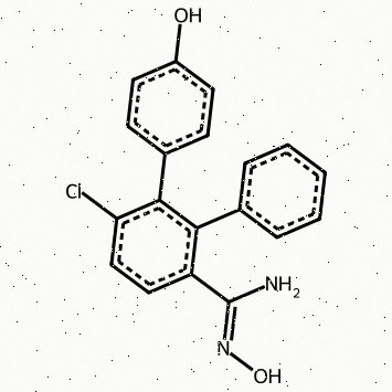 N/C(=N\O)c1ccc(Cl)c(-c2ccc(O)cc2)c1-c1ccccc1